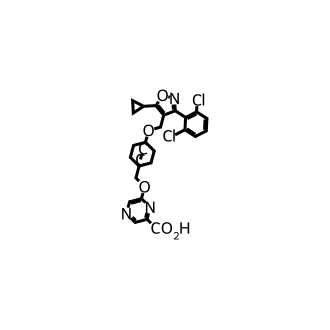 O=C(O)c1cncc(OCC23CCC(OCc4c(-c5c(Cl)cccc5Cl)noc4C4CC4)(CC2)CC3)n1